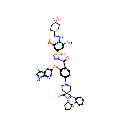 CC(C)c1ccccc1[C@H]1CCC[C@H]1N1CC2(CCN(c3ccc(C(=O)NS(=O)(=O)c4cc5c(c([N+](=O)[O-])c4)N[C@@H]([C@H]4CC[C@](C)(O)CC4)CO5)c(Oc4cnc5[nH]cc(F)c5c4)c3)CC2)C1=O